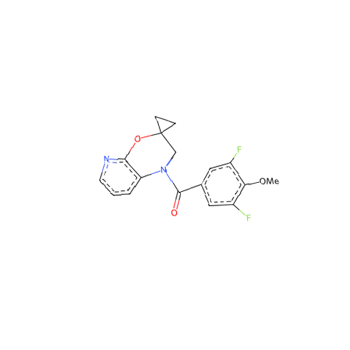 COc1c(F)cc(C(=O)N2CC3(CC3)Oc3ncccc32)cc1F